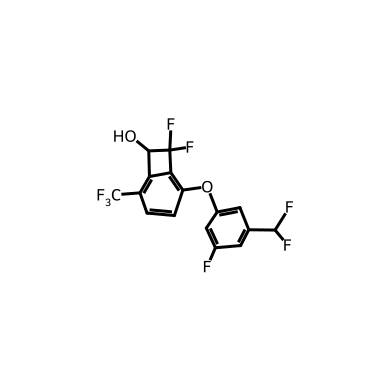 OC1c2c(C(F)(F)F)ccc(Oc3cc(F)cc(C(F)F)c3)c2C1(F)F